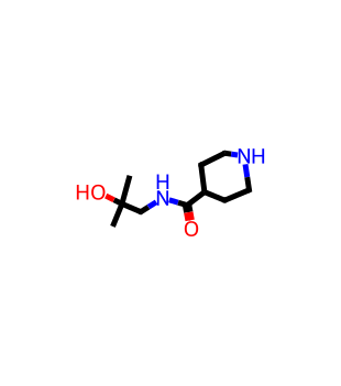 CC(C)(O)CNC(=O)C1CCNCC1